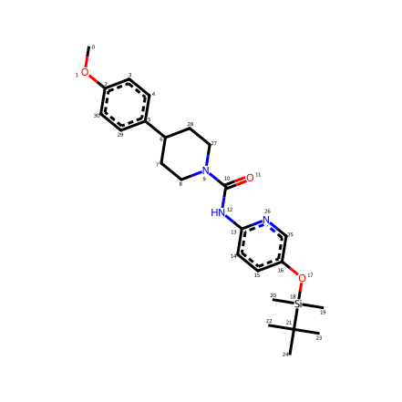 COc1ccc(C2CCN(C(=O)Nc3ccc(O[Si](C)(C)C(C)(C)C)cn3)CC2)cc1